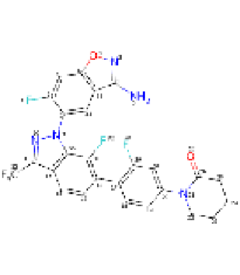 Nc1noc2cc(F)c(-n3nc(C(F)(F)F)c4ccc(-c5ccc(N6CCCCC6=O)cc5F)c(F)c43)cc12